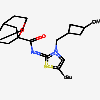 COC1CC(Cn2cc(C(C)(C)C)sc2=NC(=O)C23CC4CC(CC(C4)O2)C3)C1